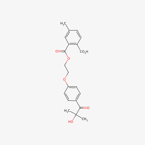 Cc1ccc(C(=O)O)c(C(=O)OCCOc2ccc(C(=O)C(C)(C)O)cc2)c1